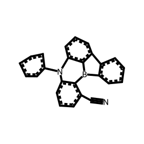 N#Cc1cccc2c1B1c3ccccc3-c3cccc(c31)N2c1ccccc1